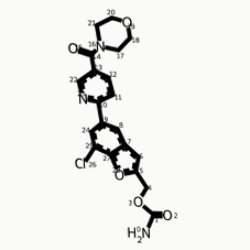 NC(=O)OCc1cc2cc(-c3ccc(C(=O)N4CCOCC4)cn3)cc(Cl)c2o1